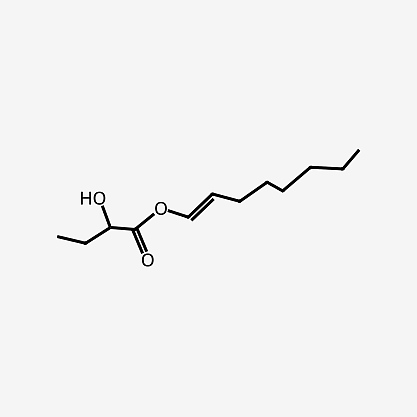 CCCCCCC=COC(=O)C(O)CC